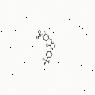 Cc1cc(Cn2ccn(-c3ccc(C(F)(F)F)cc3)c2=O)ccc1[N+](=O)[O-]